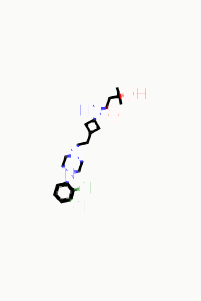 CC(C)(O)CC(=O)NC1CC(CCN2CCN(c3cccc(Cl)c3Cl)CC2)C1